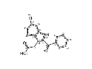 O=C(O)Cc1c(C(=O)c2ccncc2)[nH]c2cc(Cl)ccc12